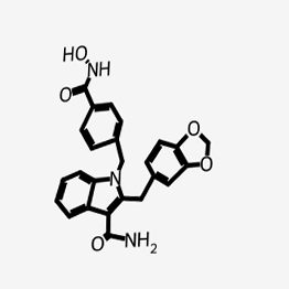 NC(=O)c1c(Cc2ccc3c(c2)OCO3)n(Cc2ccc(C(=O)NO)cc2)c2ccccc12